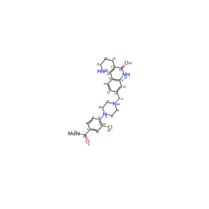 CNC(=O)c1ccc(N2CCN(Cc3ccc4c5c(c(=O)[nH]c4c3)CCCN5)CC2)c(Cl)c1